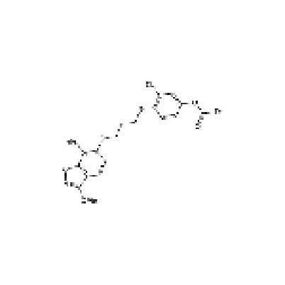 CCCc1c(OCCCSc2ccc(OC(=O)CC)cc2Cl)ccc2c(OC)noc12